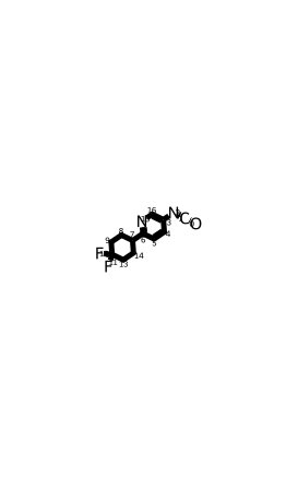 O=C=Nc1ccc(C2CCC(F)(F)CC2)nc1